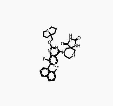 O=C1NC(=O)C2(COCCN(c3nc(OCC45CCCN4CCC5)nc4c(F)c(-c5cccc6cccc(F)c56)ncc34)C2)N1